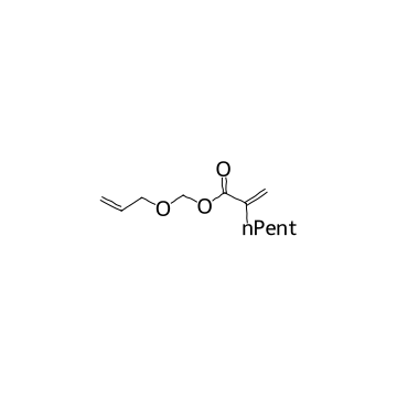 C=CCOCOC(=O)C(=C)CCCCC